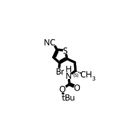 C[C@@H](Cc1sc(C#N)cc1Br)NC(=O)OC(C)(C)C